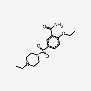 CCOc1ccc(S(=O)(=O)N2CCN(CC)CC2)cc1C(N)=O